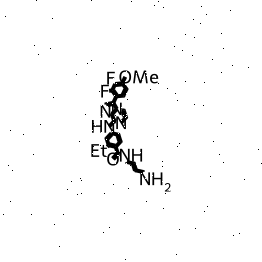 CCc1cc(Nc2nccn3c(-c4ccc(OC)c(F)c4F)cnc23)ccc1C(=O)NC/C=C/CN